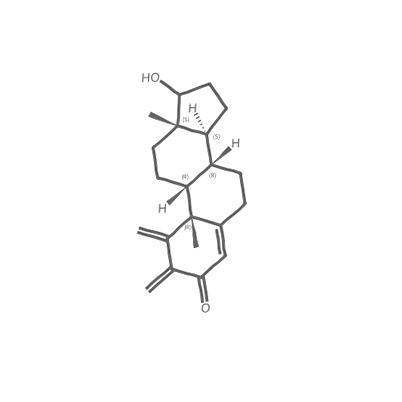 C=C1C(=C)[C@@]2(C)C(=CC1=O)CC[C@@H]1[C@H]2CC[C@]2(C)C(O)CC[C@@H]12